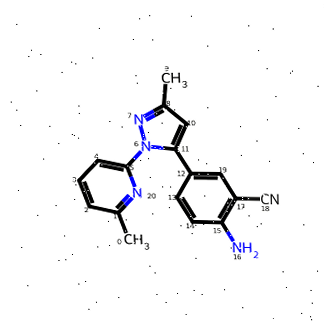 Cc1cccc(-n2nc(C)cc2-c2ccc(N)c(C#N)c2)n1